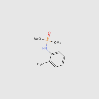 COP(=O)(Nc1ccccc1C)OC